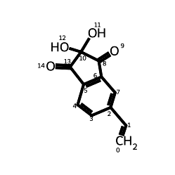 C=Cc1ccc2c(c1)C(=O)C(O)(O)C2=O